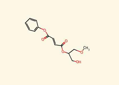 COCC(CO)OC(=O)/C=C/C(=O)Oc1ccccc1